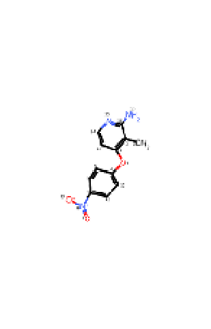 Cc1c(Oc2ccc([N+](=O)[O-])cc2)ccnc1N